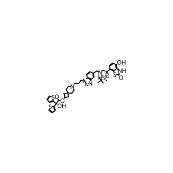 CC(C)(C)[Si](C)(C)O[C@@H](CNCc1ccc2c(c1)nnn2CCCN1CCC2(CC1)CC(OC(=O)C(O)(c1cccs1)c1cccs1)C2)c1ccc(O)c2[nH]c(=O)sc12